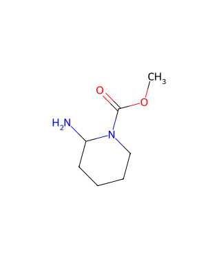 COC(=O)N1CCCCC1N